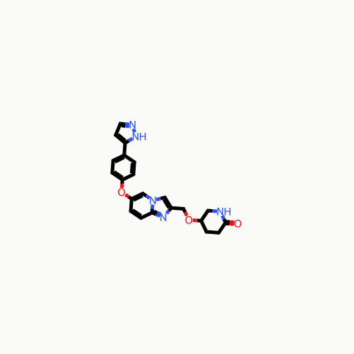 O=C1CCC(OCc2cn3cc(Oc4ccc(-c5ccn[nH]5)cc4)ccc3n2)CN1